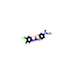 CCCN(C)c1ccc(NC(=O)Nc2ccc(Cl)c(C)c2)cc1